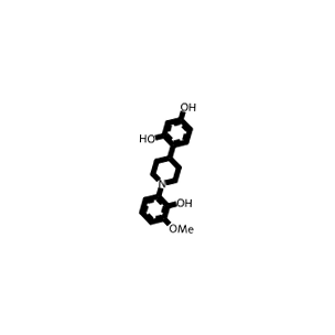 COc1cccc(N2CCC(c3ccc(O)cc3O)CC2)c1O